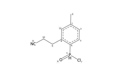 Cc1ccc([PH](=O)Cl)c(CCC#N)c1